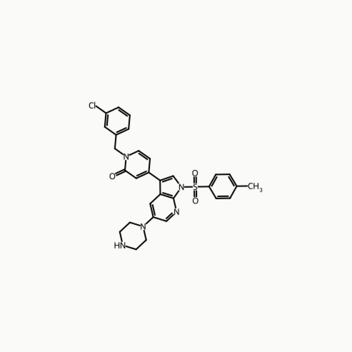 Cc1ccc(S(=O)(=O)n2cc(-c3ccn(Cc4cccc(Cl)c4)c(=O)c3)c3cc(N4CCNCC4)cnc32)cc1